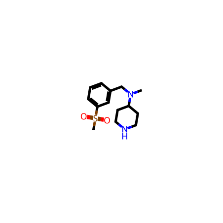 CN(Cc1cccc(S(C)(=O)=O)c1)C1CCNCC1